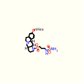 CCCCCCOc1ccc2c(c1)CCN1C[C@@H]3CCCN(S(=O)(=O)CCCNS(N)(=O)=O)[C@@H]3C[C@@H]21